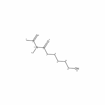 C=C(C)N(C)C(=O)CCCCCO